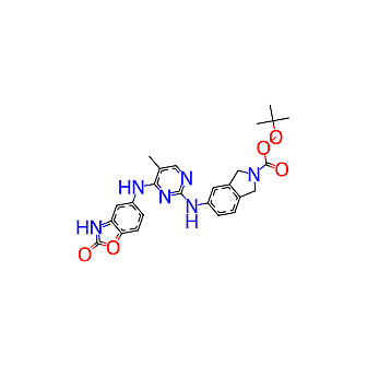 Cc1cnc(Nc2ccc3c(c2)CN(C(=O)OOC(C)(C)C)C3)nc1Nc1ccc2oc(=O)[nH]c2c1